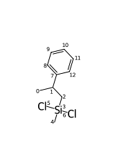 CC(C[Si](C)(Cl)Cl)c1ccccc1